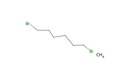 BrCCCCCCBr.C